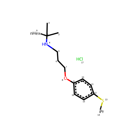 CCCCCCC(C)(C)NCCCOc1ccc(SC(C)C)cc1.Cl